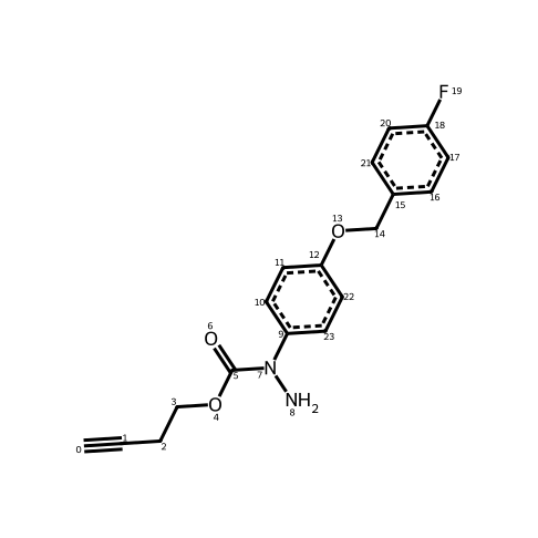 C#CCCOC(=O)N(N)c1ccc(OCc2ccc(F)cc2)cc1